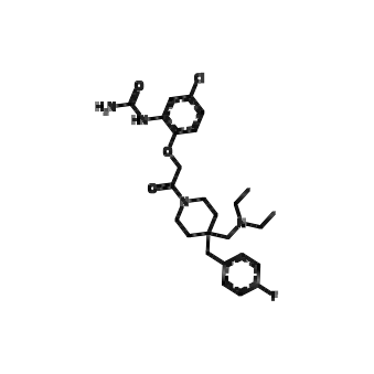 CCN(CC)CC1(Cc2ccc(F)cc2)CCN(C(=O)COc2ccc(Cl)cc2NC(N)=O)CC1